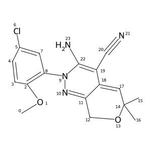 COc1ccc(Cl)cc1N1N=C2COC(C)(C)C=C2C(C#N)=C1N